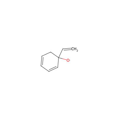 C=CC1([O])C=CC=CC1